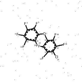 Fc1c(F)c(F)c(Oc2c(F)c(F)c(Cl)c(F)c2F)c(F)c1F